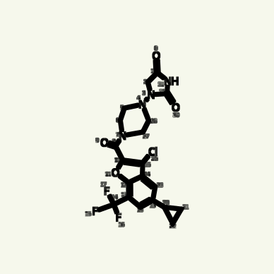 O=C1CN(N2CCN(C(=O)c3oc4c(C(F)(F)F)cc(C5CC5)cc4c3Cl)CC2)C(=O)N1